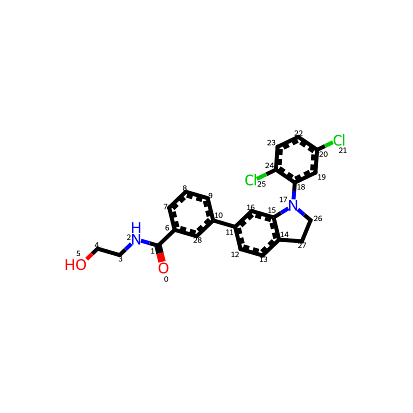 O=C(NCCO)c1cccc(-c2ccc3c(c2)N(c2cc(Cl)ccc2Cl)CC3)c1